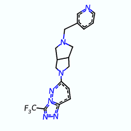 FC(F)(F)c1nnc2ccc(N3CC4CN(Cc5cccnc5)CC4C3)nn12